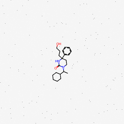 CC(C1CCCCC1)N1CCC(CCCO)(c2ccccc2)NC1=O